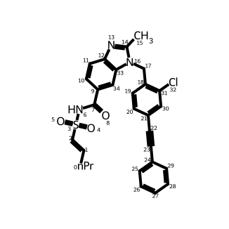 CCCC=CS(=O)(=O)NC(=O)c1ccc2nc(C)n(Cc3ccc(C#Cc4ccccc4)cc3Cl)c2c1